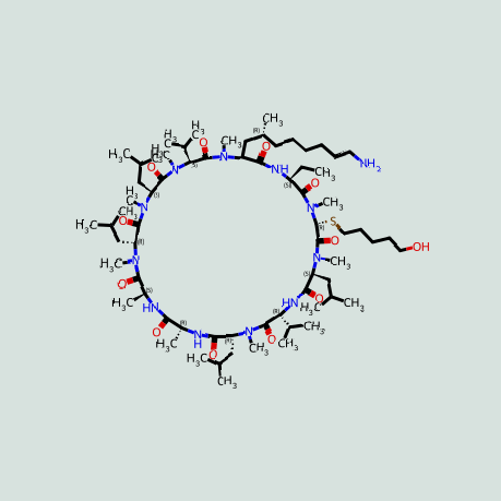 CC[C@@H]1NC(=O)C(C[C@H](C)CCCCCCN)N(C)C(=O)[C@H](C(C)C)N(C)C(=O)[C@H](CC(C)C)N(C)C(=O)[C@@H](CC(C)C)N(C)C(=O)[C@H](C)NC(=O)[C@@H](C)NC(=O)[C@@H](CC(C)C)N(C)C(=O)[C@@H](C(C)C)NC(=O)[C@H](CC(C)C)N(C)C(=O)[C@@H](SCCCCCO)N(C)C1=O